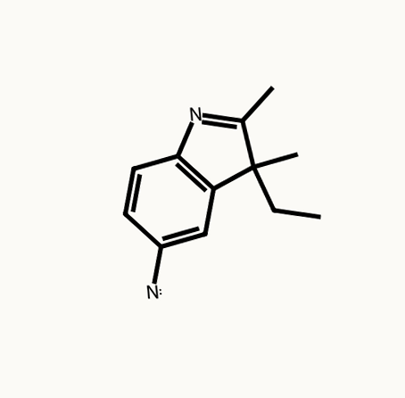 CCC1(C)C(C)=Nc2ccc([N])cc21